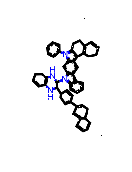 C1=CC2=CC(C3=CCC(C4NC5=C(CCC=C5)NC4n4c5ccccc5c5cc6c7c(n(-c8ccccc8)c6cc54)CCC4=C7CCC=C4)C=C3)=CCC2C=C1